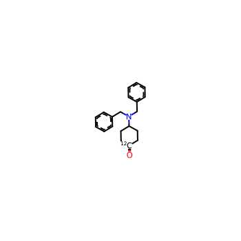 O=[12C]1CCC(N(Cc2ccccc2)Cc2ccccc2)CC1